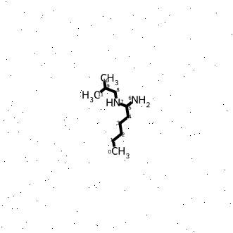 CCCCCC(N)NCC(C)C